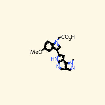 COc1ccc2c(c1)c(-c1cc3c(ncc4cnn(C)c43)[nH]1)cn2CC(=O)O